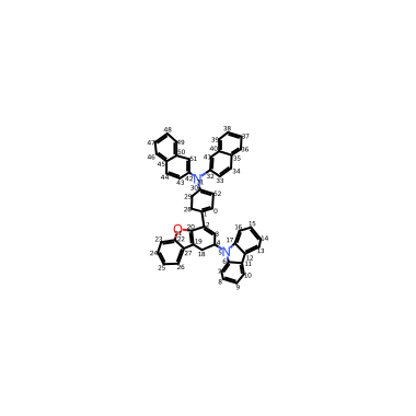 C1=C(C2=CC(n3c4ccccc4c4ccccc43)Cc3c2oc2ccccc32)CCC(N(c2ccc3ccccc3c2)c2ccc3ccccc3c2)=C1